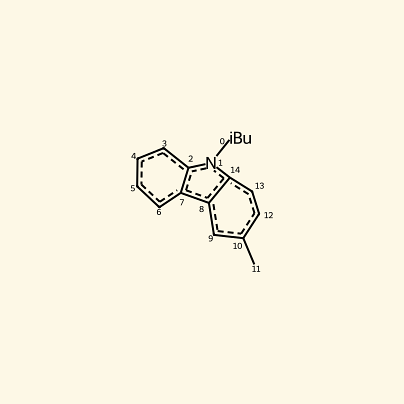 CCC(C)n1c2ccccc2c2cc(C)ccc21